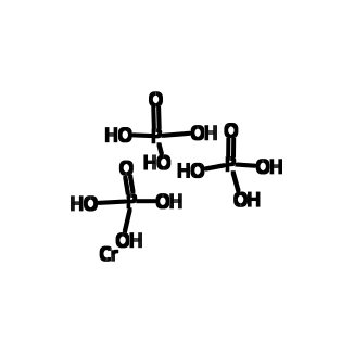 O=P(O)(O)O.O=P(O)(O)O.O=P(O)(O)O.[Cr]